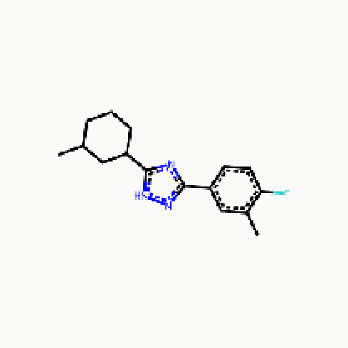 Cc1cc(-c2n[nH]c(C3CCCC(C)C3)n2)ccc1F